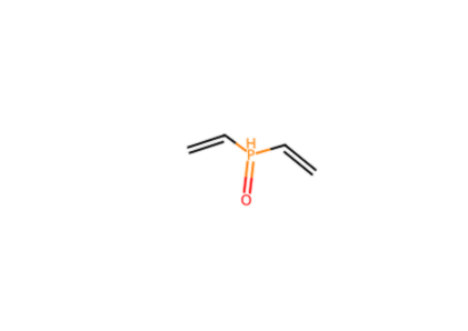 C=C[PH](=O)C=C